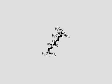 CO[Si](CCCNC(=O)N(S)CCN(C)C)(OC)OC